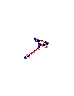 C=C1C[C@H]2C=Nc3cc(OCc4cc(COc5cc6c(cc5OC)C(O)N5CC(=C)C[C@H]5C=N6)cc(N5CCN(C(=O)CCOCCOCCOCCOCCNC(=O)CCN6C(=C)C=CC6=O)CC5)c4)c(OC)cc3C(=O)N2C1